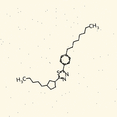 CCCCCCCCc1ccc(-c2nnc(C3CCC(CCCCC)C3)s2)cc1